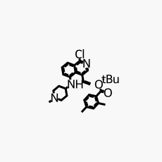 C=Cc1cnc(Cl)c2cccc(NC3CCN(C)CC3)c12.Cc1ccc(C(=O)OC(C)(C)C)c(C)c1